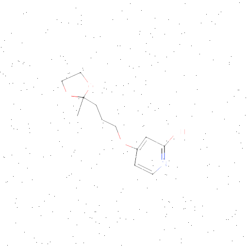 CC1(CCCOc2ccnc(O)c2)OCCO1